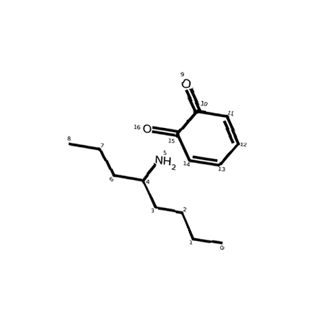 CCCCC(N)CCC.O=C1C=CC=CC1=O